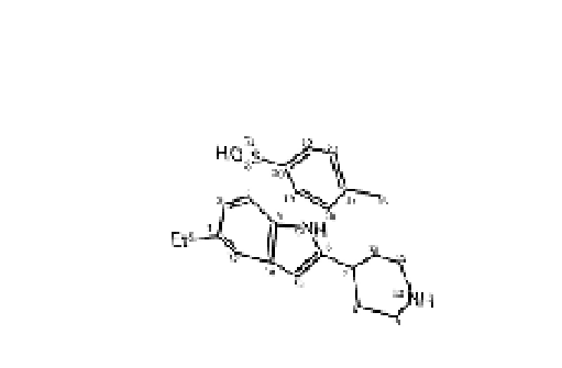 CCc1ccc2[nH]c(C3CCNCC3)cc2c1.Cc1ccc(S(=O)(=O)O)cc1